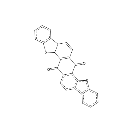 O=C1C2=C(C=CC3c4ccccc4SC23)C(=O)c2c1ccc1c2sc2ccccc21